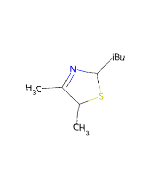 CCC(C)C1N=C(C)C(C)S1